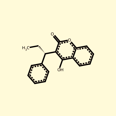 CC[C@@H](c1ccccc1)c1c(O)c2ccccc2oc1=O